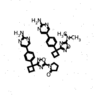 CN(C)c1nc(C2(c3ccc(-c4cnc(N)nc4)cc3)CCC2)no1.Nc1ncc(-c2ccc(C3(c4noc(N5CCCC5=O)n4)CCC3)cc2)cn1